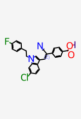 N#C/C(=C\c1cn(CCc2ccc(F)cc2)c2cc(Cl)ccc12)c1ccc(C(=O)OI)cc1